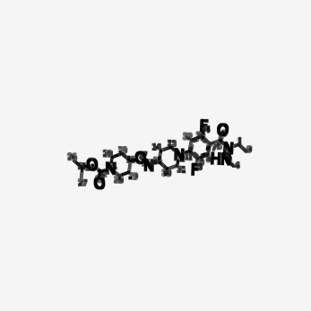 CCN(NC)C(=O)c1cc(F)c(N2CCC(=NOC3CCN(C(=O)OC(C)C)CC3)CC2)cc1F